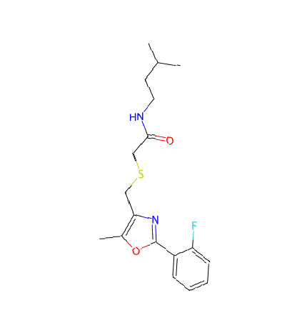 Cc1oc(-c2ccccc2F)nc1CSCC(=O)NCCC(C)C